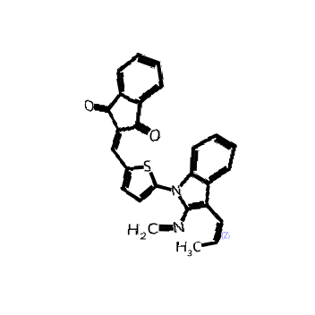 C=Nc1c(/C=C\C)c2ccccc2n1-c1ccc(C=C2C(=O)c3ccccc3C2=O)s1